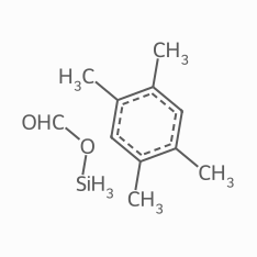 Cc1cc(C)c(C)cc1C.O=CO[SiH3]